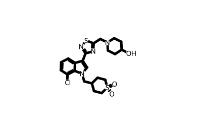 O=S1(=O)CCC(Cn2cc(-c3nsc(CN4CCC(O)CC4)n3)c3cccc(Cl)c32)CC1